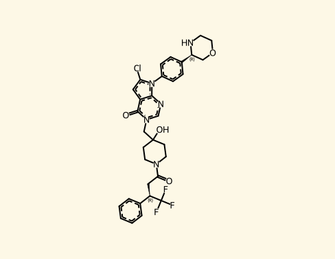 O=C(C[C@H](c1ccccc1)C(F)(F)F)N1CCC(O)(Cn2cnc3c(cc(Cl)n3-c3ccc([C@@H]4COCCN4)cc3)c2=O)CC1